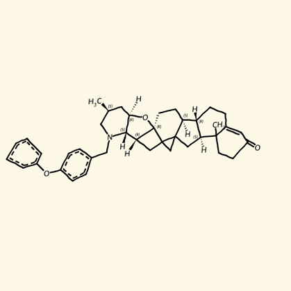 C[C@H]1C[C@H]2O[C@@]34CC[C@H]5[C@@H]6CCC7=CC(=O)CCC7(C)[C@H]6CC56CC63C[C@@H]4[C@@H]2N(Cc2ccc(Oc3ccccc3)cc2)C1